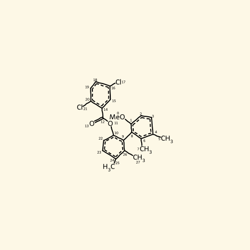 COc1ccc(C)c(C)c1-c1c(OC(=O)c2cc(Cl)ccc2Cl)ccc(C)c1C